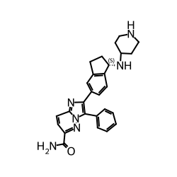 NC(=O)c1ccc2nc(-c3ccc4c(c3)CC[C@@H]4NC3CCNCC3)c(-c3ccccc3)n2n1